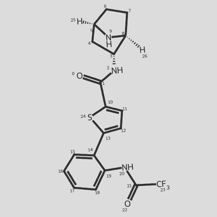 O=C(N[C@@H]1C[C@H]2CC[C@@H]1N2)c1ccc(-c2ccccc2NC(=O)C(F)(F)F)s1